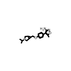 Cc1onc(N)c1-c1ccc(OCC2C3CN(C(C)C)CC23)cc1